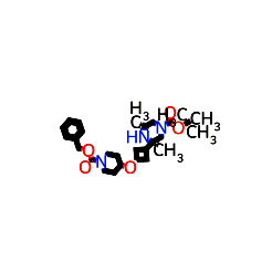 C[C@@H]1CN(C(=O)OC(C)(C)C)C[C@](C)(C2CC(OC3CCN(C(=O)OCc4ccccc4)CC3)C2)N1